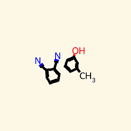 Cc1cccc(O)c1.N#Cc1ccccc1C#N